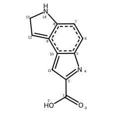 O=C(O)C1=Nc2ccc3c(c2=C1)=CCN3